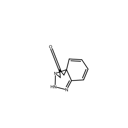 O=C1CN2NN=C3C=CC=CC32C1